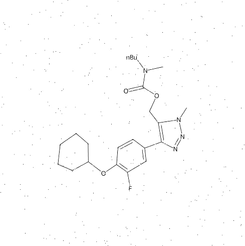 CCCCN(C)C(=O)OCc1c(-c2ccc(OC3CCCCC3)c(F)c2)nnn1C